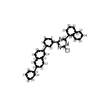 Clc1nc(-c2cccc(-c3ccc4cc(-c5ccccc5)ccc4c3)c2)nc(-c2cccc3ccccc23)n1